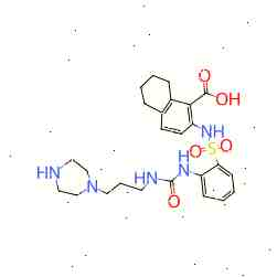 O=C(NCCCN1CCNCC1)Nc1ccccc1S(=O)(=O)Nc1ccc2c(c1C(=O)O)CCCC2